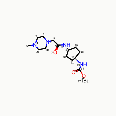 CN1CCN(CC(=O)N[C@H]2CC[C@H](NC(=O)OC(C)(C)C)CC2)CC1